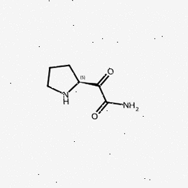 NC(=O)C(=O)[C@@H]1CCCN1